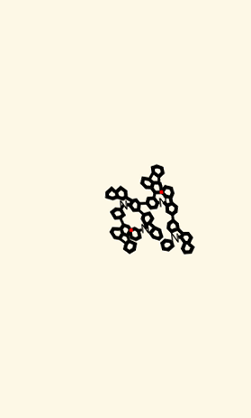 c1ccc(-n2c3ccccc3c3ccc(-c4cc5c(cc4-c4ccc(-n6c7ccccc7c7ccc(-c8ccc9c(c8)c8ccc%10ccccc%10c8n9-c8ccccc8)cc76)c(-c6ccc7c8c(cccc68)-c6ccccc6-7)c4)c4ccc6ccccc6c4n5-c4cccc(-c5ccc6c7c(cccc57)-c5ccccc5-6)c4)cc32)cc1